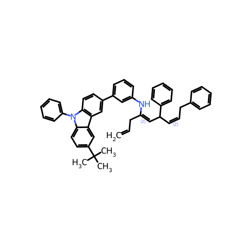 C=CC/C(=C/C(/C=C\Cc1ccccc1)c1ccccc1)Nc1cccc(-c2ccc3c(c2)c2cc(C(C)(C)C)ccc2n3-c2ccccc2)c1